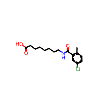 Cc1ccc(Cl)cc1C(=O)NCCCCCCCC(=O)O